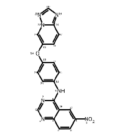 O=[N+]([O-])c1ccc2ncnc(Nc3ccc(Oc4ccc5ncnn5c4)cc3)c2c1